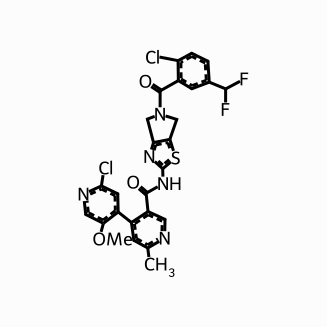 COc1cnc(Cl)cc1-c1cc(C)ncc1C(=O)Nc1nc2c(s1)CN(C(=O)c1cc(C(F)F)ccc1Cl)C2